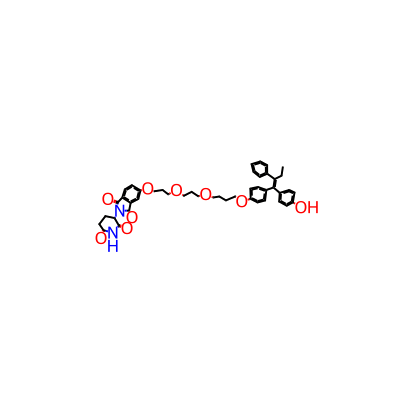 CCC(=C(c1ccc(O)cc1)c1ccc(OCCCCOCCCOCCCOc2ccc3c(c2)C(=O)N(C2CCC(=O)NC2=O)C3=O)cc1)c1ccccc1